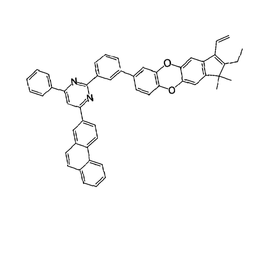 C=CC1=C(CC)C(C)(C)c2cc3c(cc21)Oc1cc(-c2cccc(-c4nc(-c5ccccc5)cc(-c5ccc6c(ccc7ccccc76)c5)n4)c2)ccc1O3